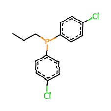 CCCP(c1ccc(Cl)cc1)c1ccc(Cl)cc1